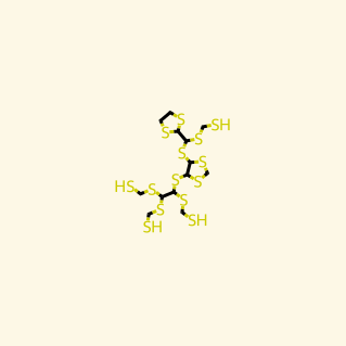 SCSC(SCS)C(SCS)SC1SCSC1SC(SCS)C1SCCS1